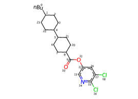 CCCCC1CCC(C2CCC(C(=O)Oc3cnc(Cl)c(Cl)c3)CC2)CC1